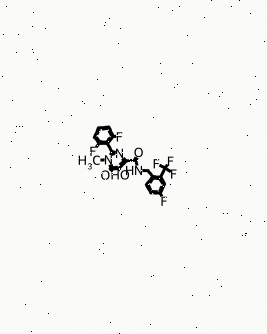 Cn1c(-c2c(F)cccc2F)nc(C(=O)NCc2ccc(F)cc2C(F)(F)F)c(O)c1=O